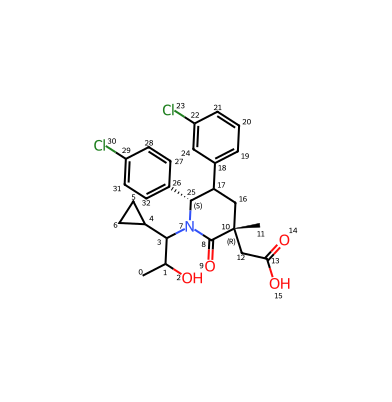 CC(O)C(C1CC1)N1C(=O)[C@@](C)(CC(=O)O)CC(c2cccc(Cl)c2)[C@H]1c1ccc(Cl)cc1